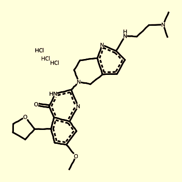 COc1cc(C2CCCO2)c2c(=O)[nH]c(N3CCc4nc(NCCN(C)C)ccc4C3)nc2c1.Cl.Cl.Cl